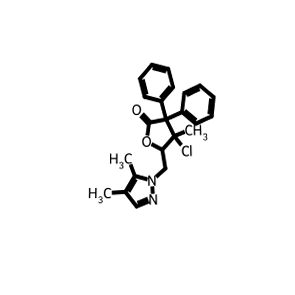 Cc1cnn(CC2OC(=O)C(c3ccccc3)(c3ccccc3)C2(C)Cl)c1C